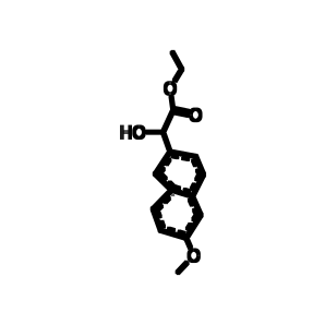 CCOC(=O)C(O)c1ccc2cc(OC)ccc2c1